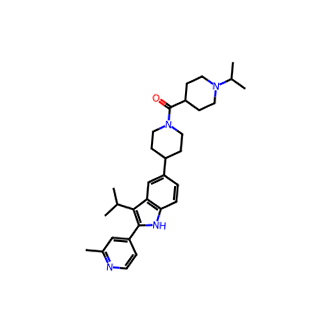 Cc1cc(-c2[nH]c3ccc(C4CCN(C(=O)C5CCN(C(C)C)CC5)CC4)cc3c2C(C)C)ccn1